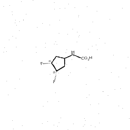 O=C(O)NC1C[C@@H](F)[C@@H](F)C1